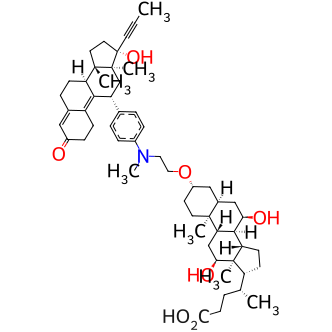 CC#C[C@]1(O)CC[C@@]2(C)[C@@H]3CCC4=CC(=O)CCC4=C3[C@@H](c3ccc(N(C)CCO[C@H]4CC[C@@]5(C)[C@@H](C4)C[C@@H](O)[C@@H]4[C@@H]5C[C@H](O)[C@]5(C)[C@@H]([C@H](C)CCC(=O)O)CC[C@@H]45)cc3)C[C@@]21C